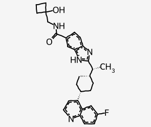 C[C@@H](c1nc2ccc(C(=O)NCC3(O)CCC3)cc2[nH]1)[C@H]1CC[C@@H](c2ccnc3ccc(F)cc32)CC1